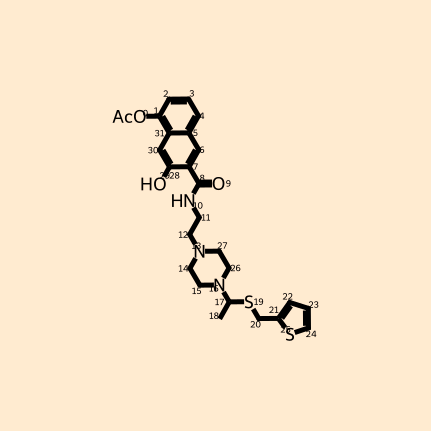 CC(=O)Oc1cccc2cc(C(=O)NCCN3CCN(C(C)SCc4cccs4)CC3)c(O)cc12